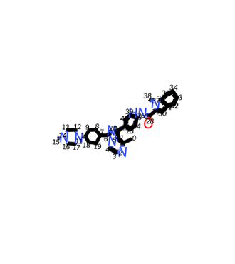 Cc1nccn2c(C3CCC(N4CCN(C)CC4)CC3)nc(-c3ccc(NC(=O)c4cc5ccccc5n4C)cc3)c12